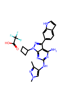 Cc1nn(C)cc1Nc1nc(N)c2c(-c3ccc4cc[nH]c4c3)nn(C3CCC3)c2n1.O=C(O)C(F)(F)F